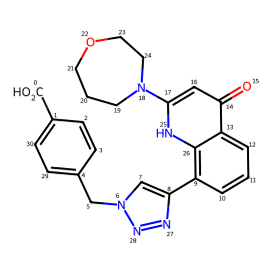 O=C(O)c1ccc(Cn2cc(-c3cccc4c(=O)cc(N5CCCOCC5)[nH]c34)nn2)cc1